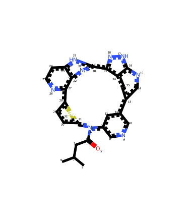 CC(C)CC(=O)n1c2cncc(c2)c2cnc3[nH]nc(c4nc5c(ccnc5c5ccc1s5)[nH]4)c3c2